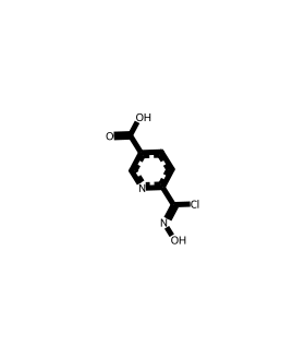 O=C(O)c1ccc(C(Cl)=NO)nc1